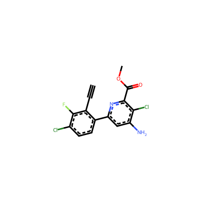 C#Cc1c(-c2cc(N)c(Cl)c(C(=O)OC)n2)ccc(Cl)c1F